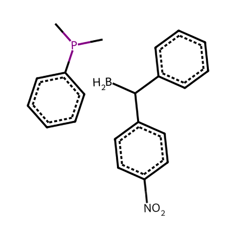 BC(c1ccccc1)c1ccc([N+](=O)[O-])cc1.CP(C)c1ccccc1